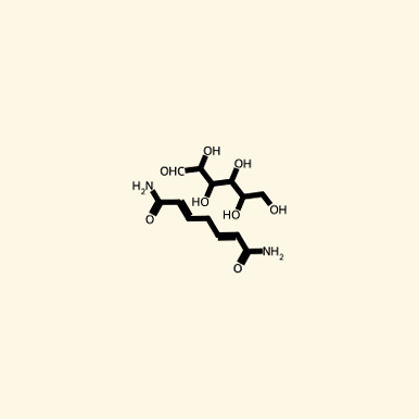 NC(=O)C=CCC=CC(N)=O.O=CC(O)C(O)C(O)C(O)CO